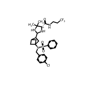 CC1(C)NC(C2CC3(N(Cc4ccc(Cl)cc4)S(=O)(=O)c4ccccc4)CC2C3)N[C@H]1C(=O)NCCC(F)(F)F